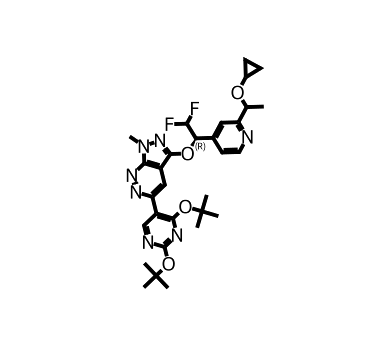 CC(OC1CC1)c1cc([C@@H](Oc2nn(C)c3nnc(-c4cnc(OC(C)(C)C)nc4OC(C)(C)C)cc23)C(F)F)ccn1